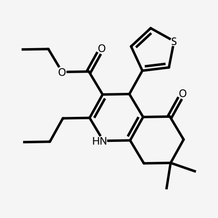 CCCC1=C(C(=O)OCC)C(c2ccsc2)C2=C(CC(C)(C)CC2=O)N1